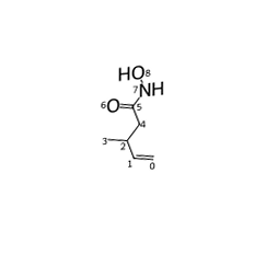 C=CC(C)CC(=O)NO